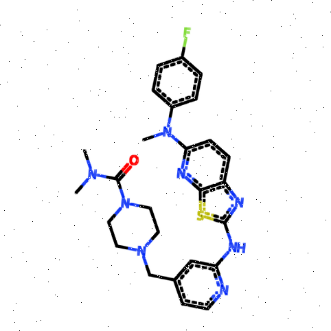 CN(C)C(=O)N1CCN(Cc2ccnc(Nc3nc4ccc(N(C)c5ccc(F)cc5)nc4s3)c2)CC1